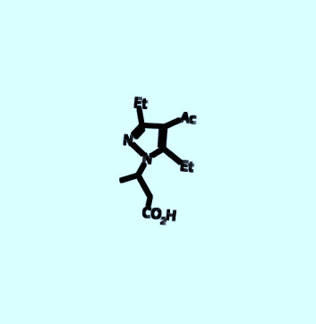 CCc1nn(C(C)CC(=O)O)c(CC)c1C(C)=O